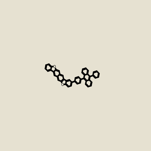 c1ccc(-c2c3ccccc3c(-c3ccc(-c4ccc5oc6cc7cc8c(cc7cc6c5c4)oc4ccccc48)cc3)c3ccccc23)cc1